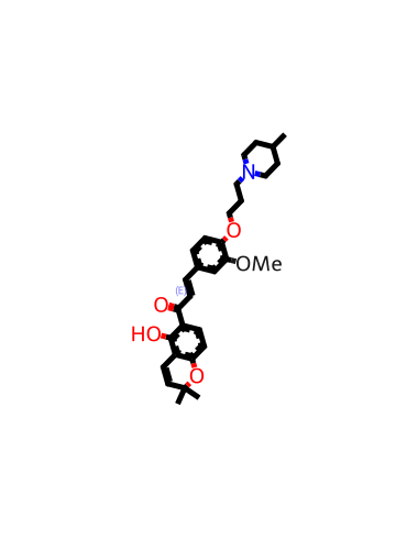 COc1cc(/C=C/C(=O)c2ccc3c(c2O)C=CC(C)(C)O3)ccc1OCCCN1CCC(C)CC1